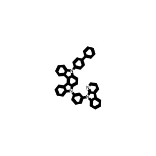 c1ccc(-c2ccc(-n3c4ccccc4c4c5c6ccccc6n(-c6cccc(-n7c8ccccc8c8cccnc87)c6)c5ccc43)cc2)cc1